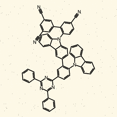 N#Cc1cc(C#N)cc(-c2cc(C#N)ccc2-n2c3ccccc3c3cc(-c4cc(-c5nc(-c6ccccc6)nc(-c6ccccc6)n5)ccc4-n4c5ccccc5c5ccccc54)ccc32)c1